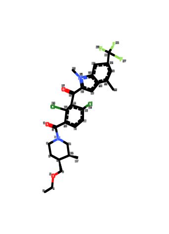 CCOC[C@H]1CCN(C(=O)c2ccc(Cl)c(C(=O)c3cc4c(C)cc(C(F)(F)F)cc4n3C)c2Cl)C[C@H]1C